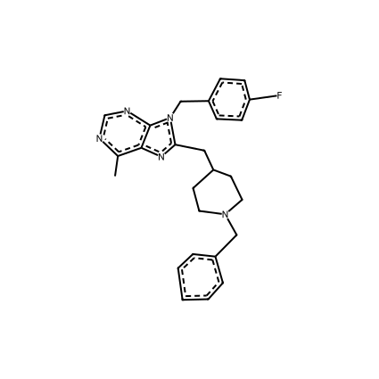 Cc1ncnc2c1nc(CC1CCN(Cc3ccccc3)CC1)n2Cc1ccc(F)cc1